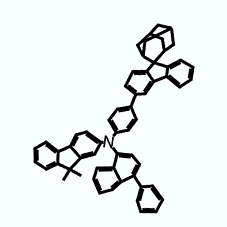 CC1(C)c2ccccc2-c2ccc(N(c3ccc(-c4ccc5c(c4)-c4ccccc4C54C5CC6CC(C5)CC4C6)cc3)c3ccc(-c4ccccc4)c4ccccc34)cc21